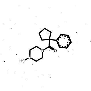 O=C(N1CCN(S)CC1)C1(c2ccccc2)CCCC1